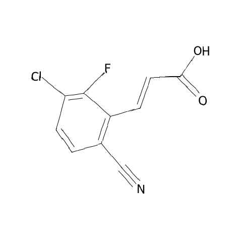 N#Cc1ccc(Cl)c(F)c1C=CC(=O)O